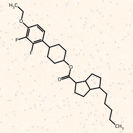 CCCCCC1CCC2C(C(=O)OC3CCC(c4ccc(OCC)c(F)c4F)CC3)CCC12